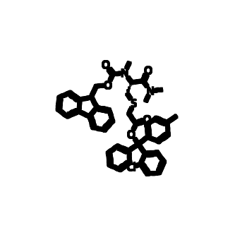 Cc1ccc(C(OC(=O)CSC[C@@H](C(=O)N(C)C)N(C)C(=O)OCC2c3ccccc3-c3ccccc32)(c2ccccc2)c2ccccc2Cl)cc1